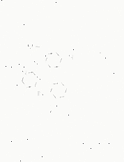 COc1cc(N2CCC(O)CC2)ccc1Nc1ncc(Cl)c(Nc2ccccc2P(C)(C)=O)n1